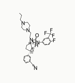 CCCN1CCN(CCN(C(=O)Nc2ccc(F)c(C(F)(F)F)c2)[C@@H]2CC[C@]3(c4cccc(C#N)c4)C[C@H]23)CC1